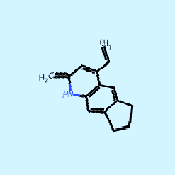 C=CC1=CC(=C)Nc2cc3c(cc21)CCC3